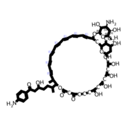 CC1/C=C/C=C/C=C/C=C/C=C/C=C/C=C/C(O[C@@H]2O[C@H](C)[C@@H](O)[C@H](N)[C@@H]2O)CC2OC(O)(CC(O)CC(O)CC(O)CC(O)CCCC(=O)CC(=O)OC1C(C)CCC(O)CC(=O)c1ccc(N)cc1)CC(O)C2C(=O)O